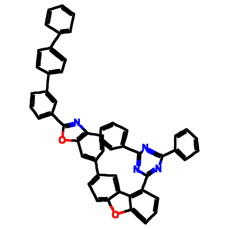 c1ccc(-c2ccc(-c3cccc(-c4nc5ccc(-c6ccc7oc8cccc(-c9nc(-c%10ccccc%10)nc(-c%10ccccc%10)n9)c8c7c6)cc5o4)c3)cc2)cc1